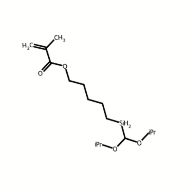 C=C(C)C(=O)OCCCCC[SiH2]C(OC(C)C)OC(C)C